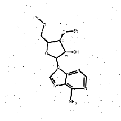 CC(C)OCC1OC(n2cnc3c(N)ncnc32)[C@H](O)[C@@H]1OC(C)C